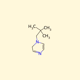 CC(C)(C)CN1C=CN=CC1